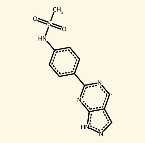 CS(=O)(=O)Nc1ccc(-c2n[c]c3cn[nH]c3n2)cc1